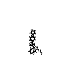 CC1CCCCN1C(=O)c1csc(C2CCN(C3CCCC3)CC2)n1